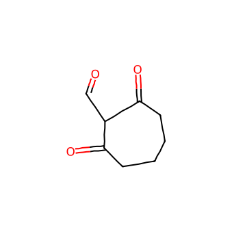 O=CC1C(=O)CCCCC1=O